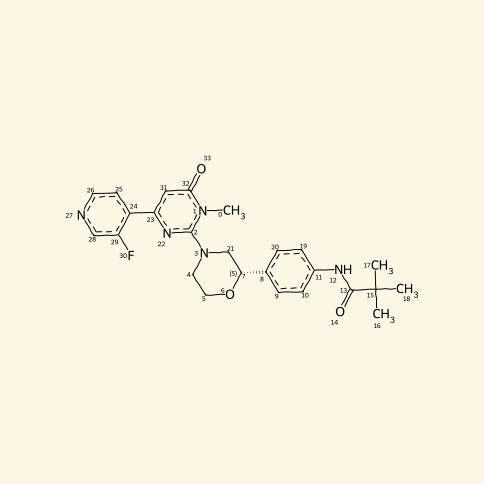 Cn1c(N2CCO[C@@H](c3ccc(NC(=O)C(C)(C)C)cc3)C2)nc(-c2ccncc2F)cc1=O